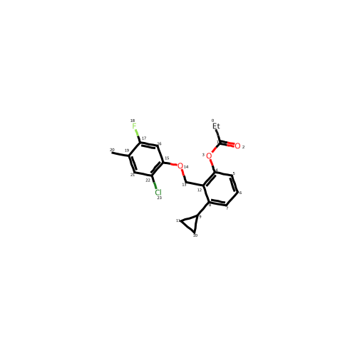 CCC(=O)Oc1cccc(C2CC2)c1COc1cc(F)c(C)cc1Cl